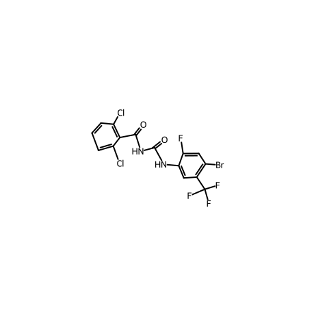 O=C(NC(=O)c1c(Cl)cccc1Cl)Nc1cc(C(F)(F)F)c(Br)cc1F